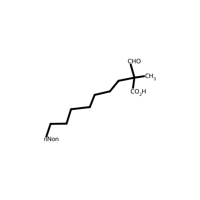 CCCCCCCCCCCCCCCCC(C)(C=O)C(=O)O